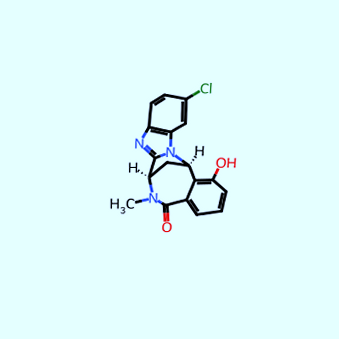 CN1C(=O)c2cccc(O)c2[C@H]2C[C@@H]1c1nc3ccc(Cl)cc3n12